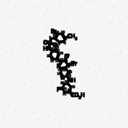 Cc1ccc(CS(=O)(=O)Nc2ccc(-c3nc4cnc(N[C@H]5C[C@H](F)CN(C(=O)O)C5)nc4n(C(C)C)c3=O)cc2F)c(Br)c1